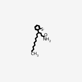 CCCCCCCCCCC(CCC(N)=O)c1ccccc1[S]